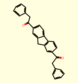 O=C(Cc1ccccc1)c1ccc2c(c1)Cc1cc(C(=O)Cc3ccccc3)ccc1-2